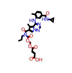 CCCN(C(=O)OCOC(=O)/C=C/C(=O)O)C(=O)c1cn2ncnc(Nc3cc(C(=O)NC4CC4)ccc3C)c2c1C